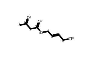 CC(=O)CC(=O)OCC=CCCl